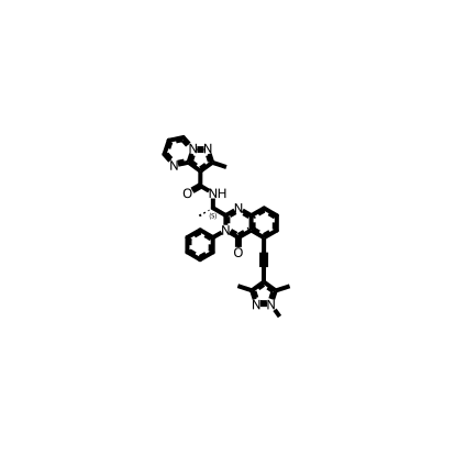 Cc1nn(C)c(C)c1C#Cc1cccc2nc([C@H](C)NC(=O)c3c(C)nn4cccnc34)n(-c3ccccc3)c(=O)c12